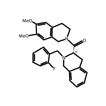 COc1cc2c(cc1OC)CN(C(=O)[C@@H]1Cc3ccccc3CN1Cc1ccccc1F)CC2